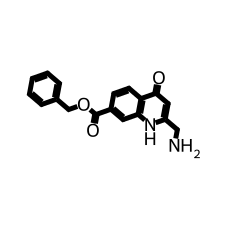 NCc1cc(=O)c2ccc(C(=O)OCc3ccccc3)cc2[nH]1